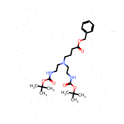 CC(C)(C)OC(=O)NCCN(CCCC(=O)OCc1ccccc1)CCNC(=O)OC(C)(C)C